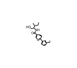 CCC(C)C(CO)NC(=O)c1ccc(-c2cccc(F)c2)nc1